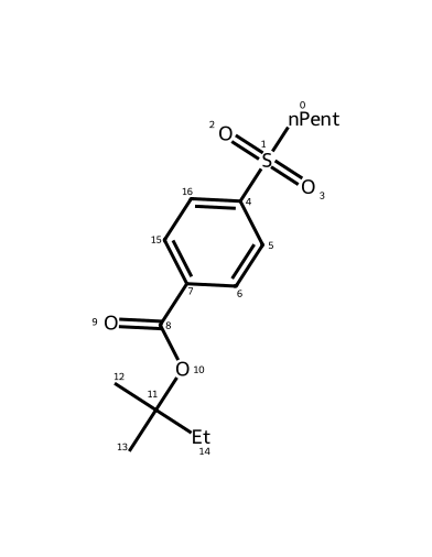 CCCCCS(=O)(=O)c1ccc(C(=O)OC(C)(C)CC)cc1